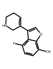 N#Cc1ccc(F)c2c(C3=CCCNC3)coc12